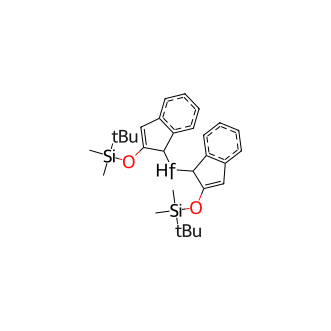 CC(C)(C)[Si](C)(C)OC1=Cc2ccccc2[CH]1[Hf][CH]1C(O[Si](C)(C)C(C)(C)C)=Cc2ccccc21